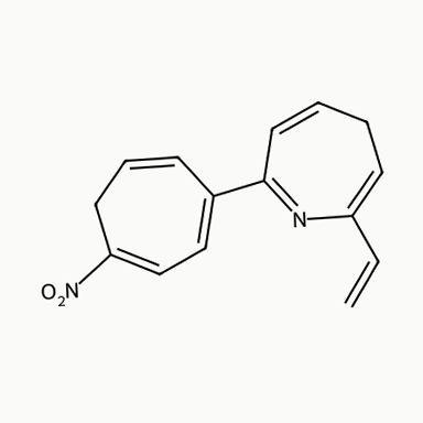 C=CC1=CCC=CC(C2=CC=C([N+](=O)[O-])CC=C2)=N1